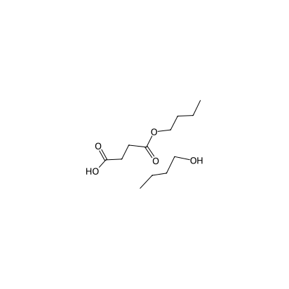 CCCCO.CCCCOC(=O)CCC(=O)O